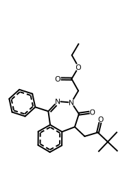 CCOC(=O)CN1N=C(c2ccccc2)c2ccccc2C(CC(=O)C(C)(C)C)C1=O